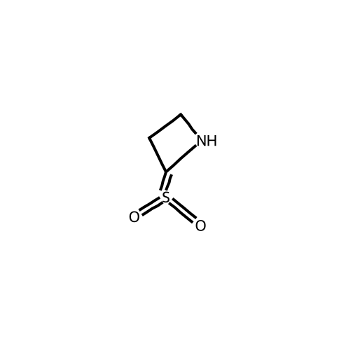 O=S(=O)=C1CCN1